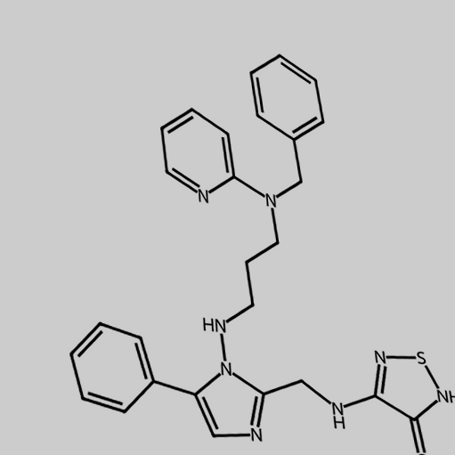 O=c1[nH]snc1NCc1ncc(-c2ccccc2)n1NCCCN(Cc1ccccc1)c1ccccn1